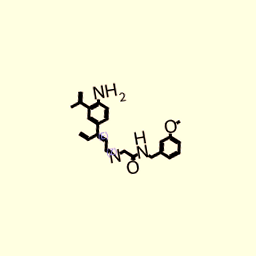 C=C/C(=C\C=N/CC(=O)NCc1cccc(OC)c1)c1ccc(N)c(C(=C)C)c1